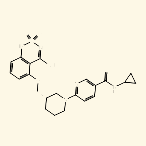 NC1=NS(=O)(=O)Nc2cccc(OC[C@H]3CCCN(c4ccc(C(=O)NC5CC5)cn4)C3)c21